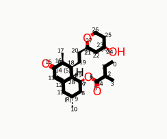 CCC(C)C(=O)O[C@H]1C[C@H](C)CC2=CC(=O)[C@@H](C)[C@@H](CC[C@@H]3C[C@H](O)CCO3)[C@H]21